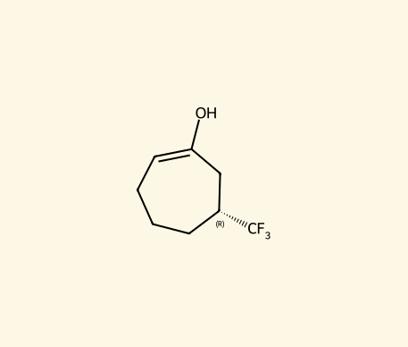 OC1=CCCC[C@@H](C(F)(F)F)C1